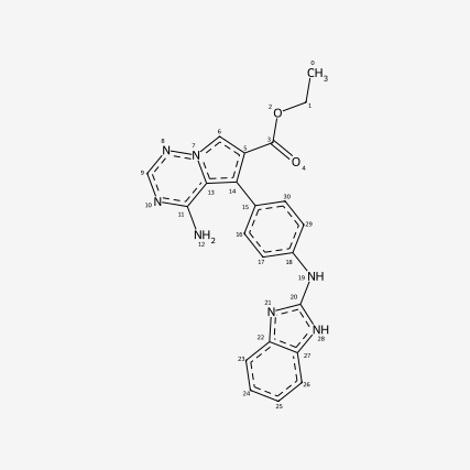 CCOC(=O)c1cn2ncnc(N)c2c1-c1ccc(Nc2nc3ccccc3[nH]2)cc1